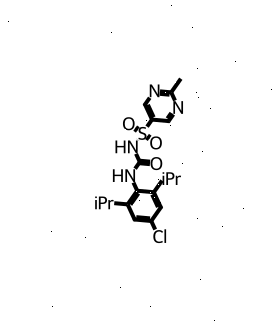 Cc1ncc(S(=O)(=O)NC(=O)Nc2c(C(C)C)cc(Cl)cc2C(C)C)cn1